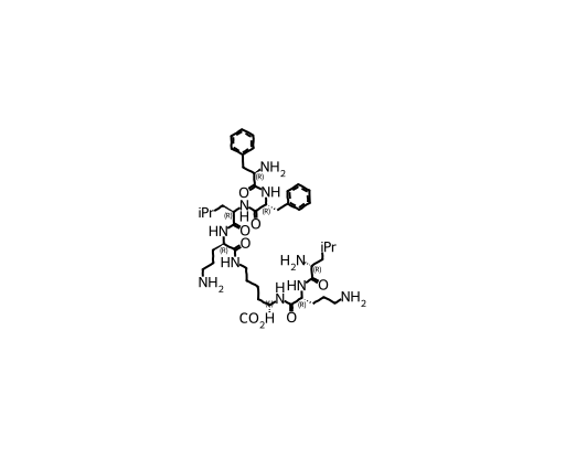 CC(C)C[C@@H](N)C(=O)N[C@H](CCCN)C(=O)N[C@@H](CCCCNC(=O)[C@@H](CCCN)NC(=O)[C@@H](CC(C)C)NC(=O)[C@@H](Cc1ccccc1)NC(=O)[C@H](N)Cc1ccccc1)C(=O)O